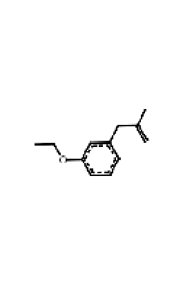 C=C(C)Cc1cccc(OCC)c1